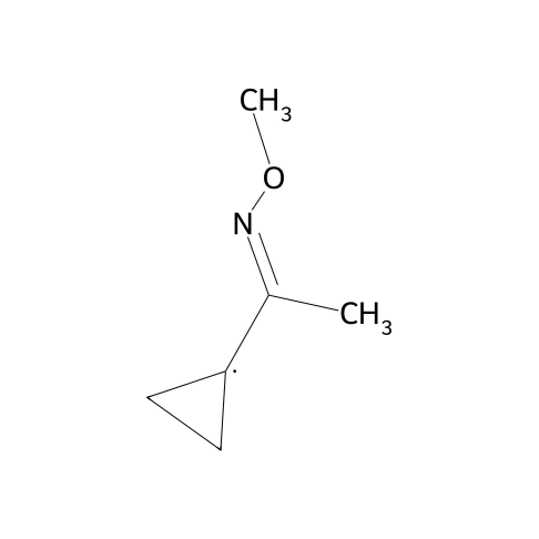 CON=C(C)[C]1CC1